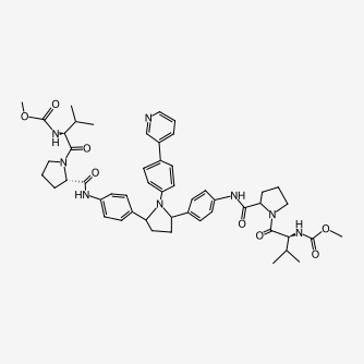 COC(=O)N[C@H](C(=O)N1CCCC1C(=O)Nc1ccc(C2CCC(c3ccc(NC(=O)[C@@H]4CCCN4C(=O)[C@@H](NC(=O)OC)C(C)C)cc3)N2c2ccc(-c3cccnc3)cc2)cc1)C(C)C